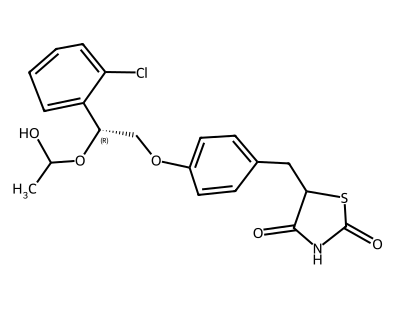 CC(O)O[C@@H](COc1ccc(CC2SC(=O)NC2=O)cc1)c1ccccc1Cl